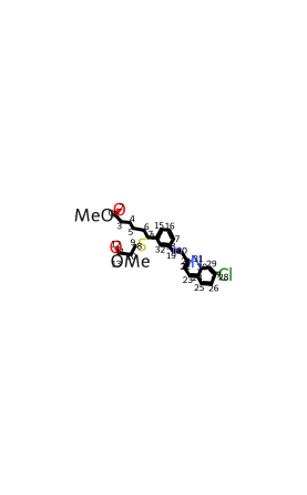 COC(=O)CCCCC(SCCC(=O)OC)c1cccc(/C=C/c2ccc3ccc(Cl)cc3n2)c1